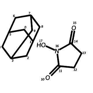 C1C2CC3CC1CC(C2)C3.O=C1CCC(=O)N1O